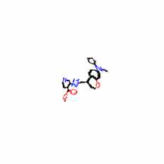 COC(=O)c1ccncc1NCC1CCOc2cc(N(C)C3CCCC3)ccc21